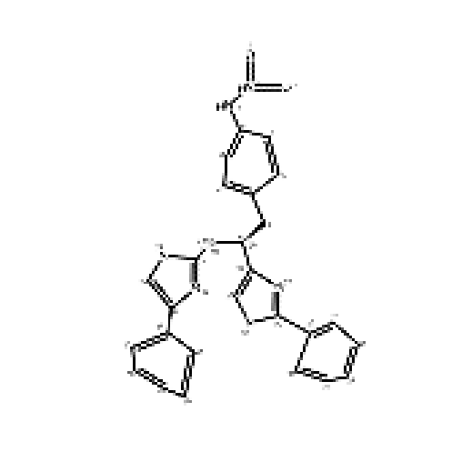 O=[SH](=O)Nc1ccc(C[C@H](Nc2nc(-c3ccccc3)cs2)c2csc(-c3ccccc3)n2)cc1